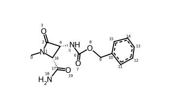 CN1C(=O)[C@H](NC(=O)OCc2ccccc2)[C@@H]1C(N)=O